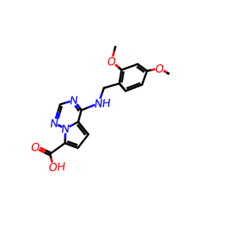 COc1ccc(CNc2ncnn3c(C(=O)O)ccc23)c(OC)c1